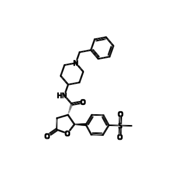 CS(=O)(=O)c1ccc([C@H]2OC(=O)C[C@@H]2C(=O)NC2CCN(Cc3ccccc3)CC2)cc1